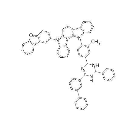 Cc1cc(C2N=C(c3cccc(-c4ccccc4)c3)NC(c3ccccc3)N2)ccc1-n1c2ccccc2c2ccc3c(c4ccccc4n3-c3ccc4oc5ccccc5c4c3)c21